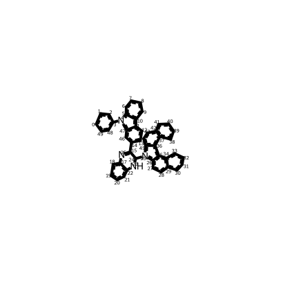 c1ccc(-n2c3ccccc3c3ccc(C4=Nc5ccccc5NC4n4c5ccc6ccccc6c5c5c6ccccc6ccc54)cc32)cc1